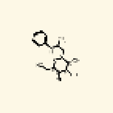 CC(C[C@@H]1O[C@H](CO)[C@H](O)[C@H](O)[C@H]1O)Nc1ccccc1